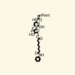 CCCCCOC(=O)NC1=NC(O)N([C@@H]2O[C@H](COC(=O)CCCCCCC(=O)Nc3ccccc3)[C@@H](O)C2(F)F)C=C1